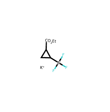 CCOC(=O)C1CC1[B-](F)(F)F.[K+]